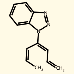 C=C/C=C(\C=C/C)n1nnc2ccccc21